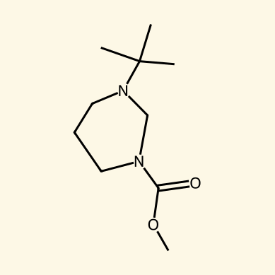 COC(=O)N1CCCN(C(C)(C)C)C1